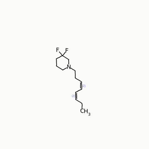 CC/C=C\C=C/CCN1CCCC(F)(F)C1